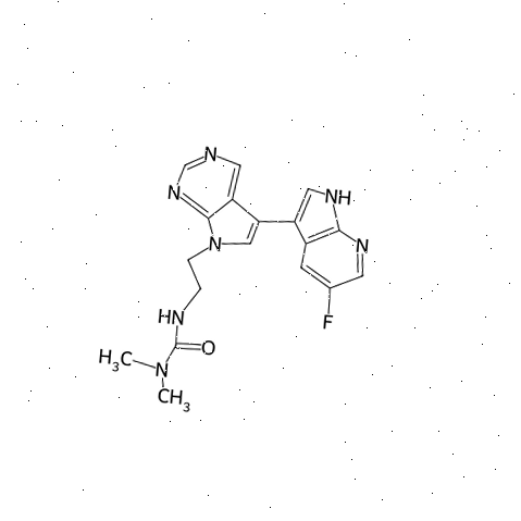 CN(C)C(=O)NCCn1cc(-c2c[nH]c3ncc(F)cc23)c2cncnc21